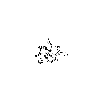 CC(=O)[C@@H]1[C@@H]2C(=O)N[C@@H](C)[C@]23C=C[C@]1(C)O3